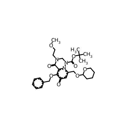 COCCN1CN(C(=O)OC(C)(C)C)n2c(COC3CCCCO3)cc(=O)c(OCc3ccccc3)c2C1=O